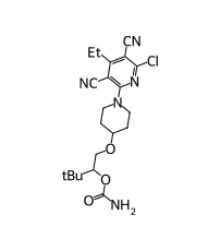 CCc1c(C#N)c(Cl)nc(N2CCC(OCC(OC(N)=O)C(C)(C)C)CC2)c1C#N